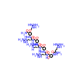 COc1ccc(NC(=O)[C@H](N)CCCNC(=N)N)cc1C(=O)N[C@H](CCCNC(=N)N)C(=O)Nc1ccc(OC)c(C(=O)N[C@H](CCCNC(=N)N)C(=O)Nc2ccc(OC)c(C(=O)N[C@H](CCCNC(=N)N)C(=O)Nc3ccc(OCCNC(=N)N)c(C(N)=O)c3)c2)c1